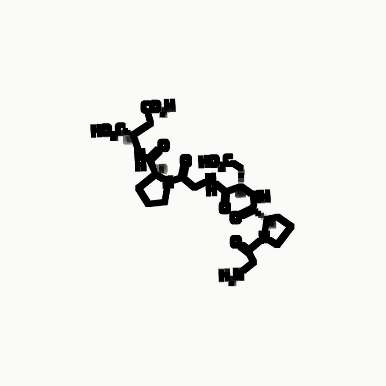 NCC(=O)N1CCC[C@H]1C(=O)N[C@@H](CC(=O)O)C(=O)NCC(=O)N1CCC[C@H]1C(=O)N[C@@H](CC(=O)O)C(=O)O